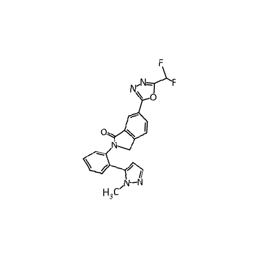 Cn1nccc1-c1ccccc1N1Cc2ccc(-c3nnc(C(F)F)o3)cc2C1=O